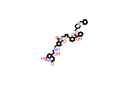 O=C1c2ccc(CNCC(O)c3ccc(O)c4[nH]c(=O)ccc34)cc2C(=O)N1Cc1ccc(-c2cccc(C(O)(C(=O)OCC3CCN(Cc4ccccc4)CC3)c3ccccc3)c2)s1